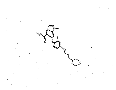 Cc1cc(OCCOC2CCOCC2)ccc1Oc1cc2c(cnn2C)cc1C(N)=O